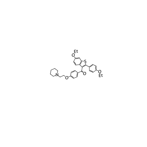 CCOc1ccc(-c2sc3cc(OCC)ccc3c2C(=O)c2ccc(OCCN3CCCCC3)cc2)cc1